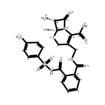 Cc1ccc(S(=O)(=O)NC(=O)c2ccccc2C(=O)OCC2=C(C(=O)O)N3C(=O)[C@@H](N)[C@@H]3SC2)cc1